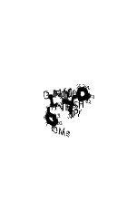 CNC(=O)[C@H](Cc1ccc(OC)cc1)NC(=O)C(S)(CC(C)C)C(c1ccccc1)C(F)(F)F